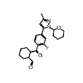 Cc1cc(-c2ccc(C(=O)C3CCCCC3C=O)c(F)c2)n(C2CCCCO2)n1